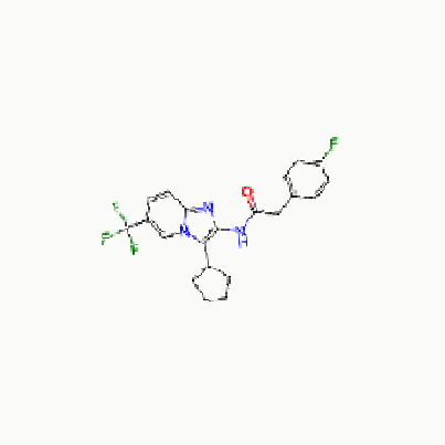 O=C(Cc1ccc(F)cc1)Nc1nc2ccc(C(F)(F)F)cn2c1C1CCCC1